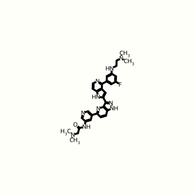 CN(C)CCNc1cc(F)cc(-c2nccc3[nH]c(-c4n[nH]c5ccc(-c6cncc(NC(=O)CN(C)C)c6)nc45)cc23)c1